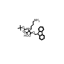 CC(C)(C)OC(=O)N[C@@](CCCCN)(C(=O)O)C(=O)OCC1c2ccccc2-c2ccccc21